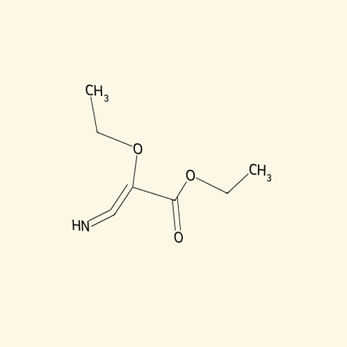 CCOC(=O)C(=C=N)OCC